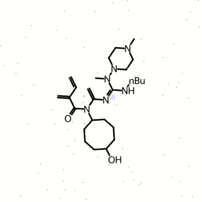 C=CC(=C)C(=O)N(C(=C)/N=C(/NCCCC)N(C)N1CCN(C)CC1)C1CCCC(O)CCC1